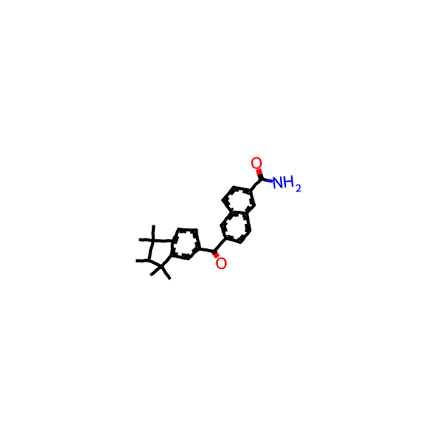 CC1C(C)(C)c2ccc(C(=O)c3ccc4cc(C(N)=O)ccc4c3)cc2C1(C)C